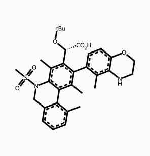 Cc1cccc2c1-c1c(C)c(-c3ccc4c(c3C)NCCO4)c([C@H](OC(C)(C)C)C(=O)O)c(C)c1N(S(C)(=O)=O)C2